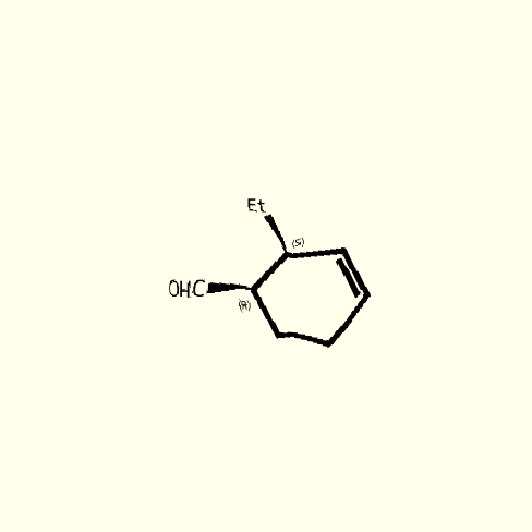 CC[C@H]1C=CCC[C@H]1C=O